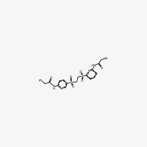 CC(C)CC(=O)Nc1ccc(S(=O)(=O)CCS(=O)(=O)c2cccc(NC(=O)CC(C)C)n2)cn1